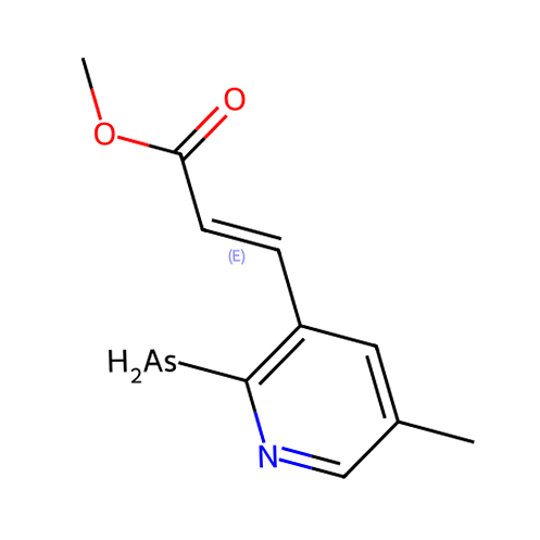 COC(=O)/C=C/c1cc(C)cnc1[AsH2]